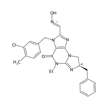 CCN1C(=O)c2c(nc(/C=N/O)n2Cc2ccc(C)c(Cl)c2)N2C[C@@H](Cc3ccccc3)N=C12